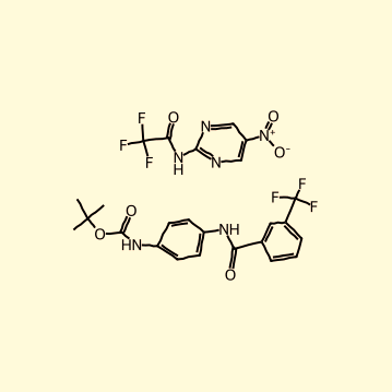 CC(C)(C)OC(=O)Nc1ccc(NC(=O)c2cccc(C(F)(F)F)c2)cc1.O=C(Nc1ncc([N+](=O)[O-])cn1)C(F)(F)F